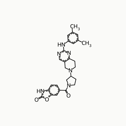 Cc1cc(C)cc(Nc2ncc3c(n2)CCN(C2CCN(C(=O)c4ccc5[nH]c(=O)oc5c4)C2)C3)c1